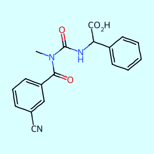 CN(C(=O)NC(C(=O)O)c1ccccc1)C(=O)c1cccc(C#N)c1